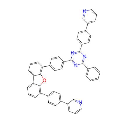 c1ccc(-c2nc(-c3ccc(-c4cccnc4)cc3)nc(-c3ccc(-c4cccc5c4oc4c(-c6ccc(-c7cccnc7)cc6)cccc45)cc3)n2)cc1